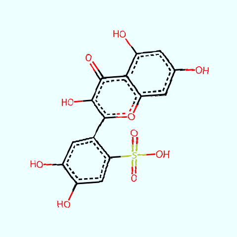 O=c1c(O)c(-c2cc(O)c(O)cc2S(=O)(=O)O)oc2cc(O)cc(O)c12